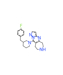 Fc1ccc(CC2CCCN(c3c4c(nc5ccnn35)CCNCC4)C2)cc1